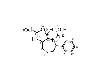 CCCCCCCCC(NC1CSCC(c2ccccc2)N(C(C)C(=O)O)C1=O)C(=O)O